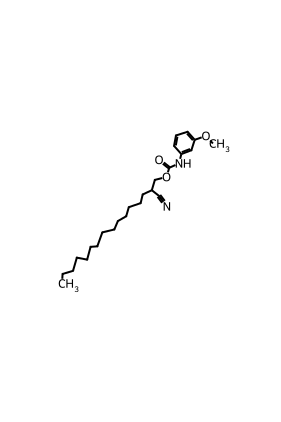 CCCCCCCCCCCCCCC(C#N)COC(=O)Nc1cccc(OC)c1